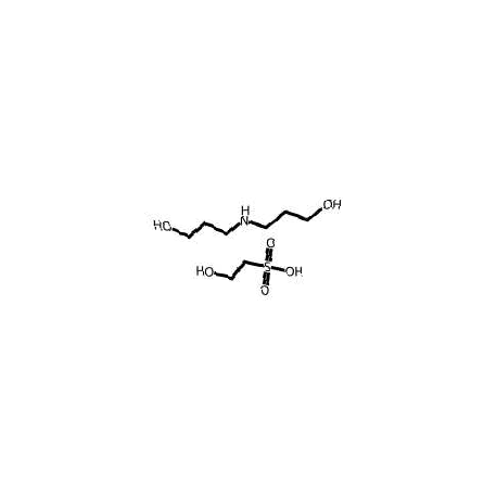 O=S(=O)(O)CCO.OCCCNCCCO